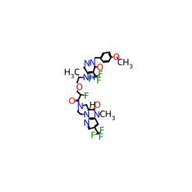 COc1ccc(Cn2ncc(N[C@@H](C)COCC(F)C(=O)N3CCN4c5ncc(C(F)(F)F)cc5N(C)C(=O)[C@@H]4C3)c(C(F)(F)F)c2=O)cc1